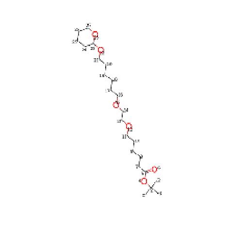 CC(C)(C)OC(=O)CCCCCOCCOCCCCCCOC1CCCCO1